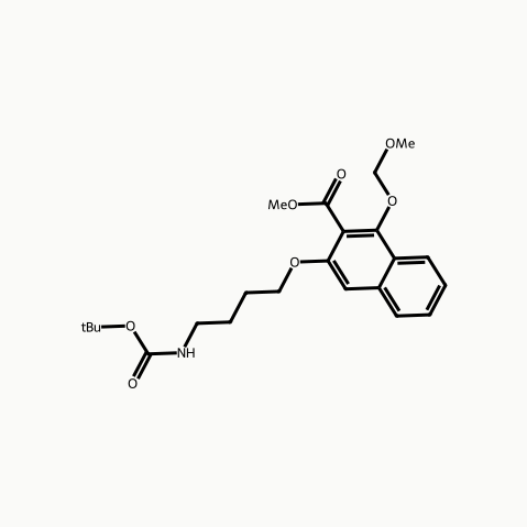 COCOc1c(C(=O)OC)c(OCCCCNC(=O)OC(C)(C)C)cc2ccccc12